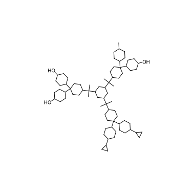 CC1CCC(C2(C3CCC(O)CC3)CCC(C(C)(C)C3CC(C(C)(C)C4CCC(C5CCC(O)CC5)(C5CCC(O)CC5)CC4)CC(C(C)(C)C4CCC(C5CCC(C6CC6)CC5)(C5CCC(C6CC6)CC5)CC4)C3)CC2)CC1